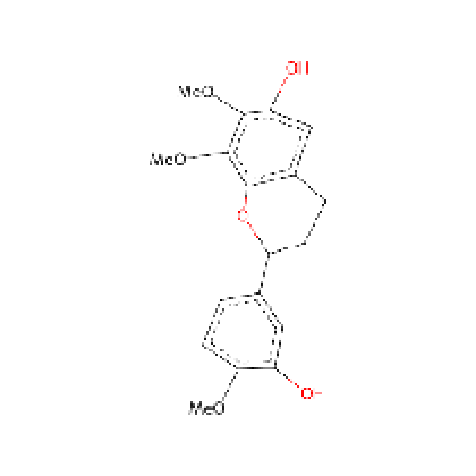 COc1ccc(C2CCc3cc(O)c(OC)c(OC)c3O2)cc1O